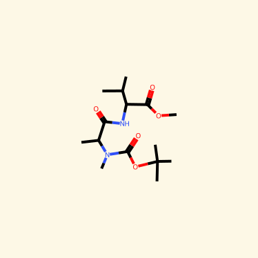 COC(=O)C(NC(=O)C(C)N(C)C(=O)OC(C)(C)C)C(C)C